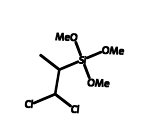 CO[Si](OC)(OC)C(C)C(Cl)Cl